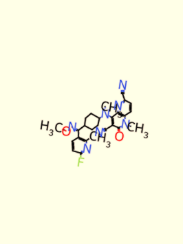 CO/N=C(\c1ccc(F)nc1C)C1CCC(N(C)c2c(C#N)c(=O)n(C)c3ccc(C#N)nc23)CC1